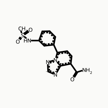 CS(=O)(=O)Nc1cccc(-c2ccc(C(N)=O)c3n[c]nn23)c1